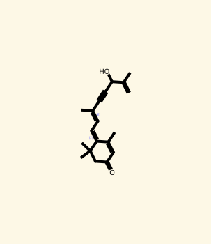 C=C(C)C(O)C#C/C(C)=C/C=C1\C(C)=CC(=O)CC1(C)C